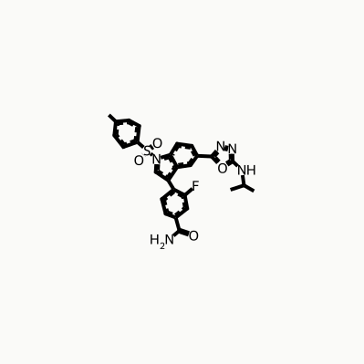 Cc1ccc(S(=O)(=O)n2cc(-c3ccc(C(N)=O)cc3F)c3cc(-c4nnc(NC(C)C)o4)ccc32)cc1